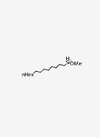 CCCCCCCCCCCCCC[SiH2]OC